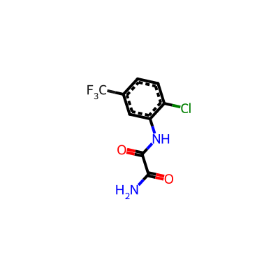 NC(=O)C(=O)Nc1cc(C(F)(F)F)ccc1Cl